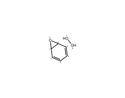 C1=CC2OC2C=C1.OO